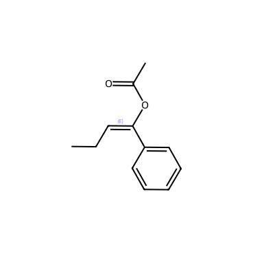 CC/C=C(/OC(C)=O)c1ccccc1